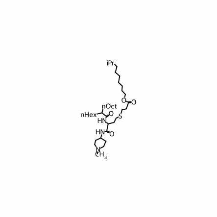 CCCCCCCCC(CCCCCC)C(=O)NC(CCSCCC(=O)OCCCCCCCC(C)C)C(=O)NC1CCN(C)CC1